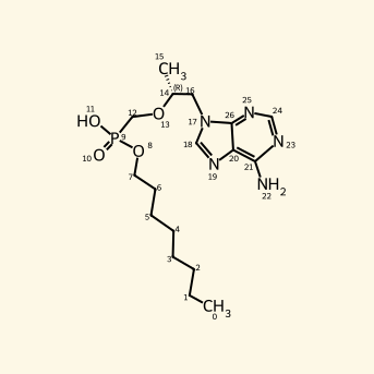 CCCCCCCCOP(=O)(O)CO[C@H](C)Cn1cnc2c(N)ncnc21